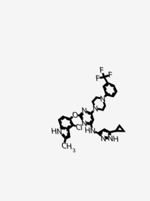 Cc1cc2c(Cl)c(Oc3nc(Nc4cc(C5CC5)[nH]n4)cc(N4CCN(c5cccc(C(F)(F)F)c5)CC4)n3)ccc2[nH]1